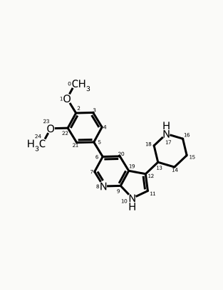 COc1ccc(-c2cnc3[nH]cc(C4CCCNC4)c3c2)cc1OC